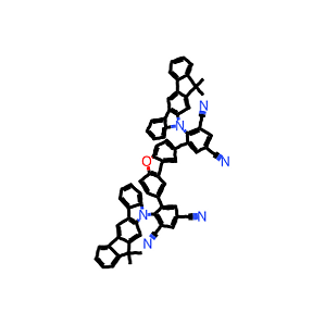 CC1(C)c2ccccc2-c2cc3c4ccccc4n(-c4c(C#N)cc(C#N)cc4-c4ccc5oc6ccc(-c7cc(C#N)cc(C#N)c7-n7c8ccccc8c8cc9c(cc87)C(C)(C)c7ccccc7-9)cc6c5c4)c3cc21